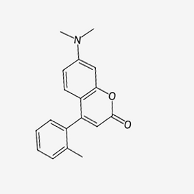 Cc1ccccc1-c1cc(=O)oc2cc(N(C)C)ccc12